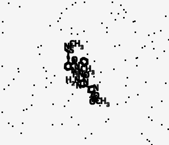 Cc1ncc(C#Cc2cccc3nc([C@H](C)NC(=O)c4nc(-c5cncc(CS(C)(=O)=O)c5)cnc4N)n(-c4ccccc4)c(=O)c23)s1